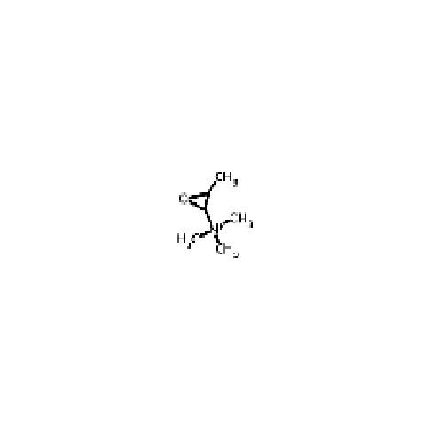 CC1OC1[N+](C)(C)C